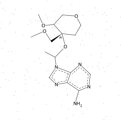 COC[C@]1(OC(C)n2cnc3c(N)ncnc32)CCOCC1OC